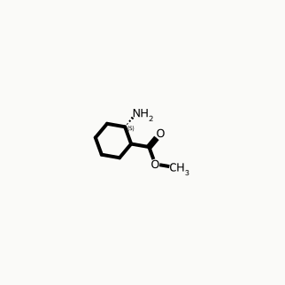 COC(=O)C1CCCC[C@@H]1N